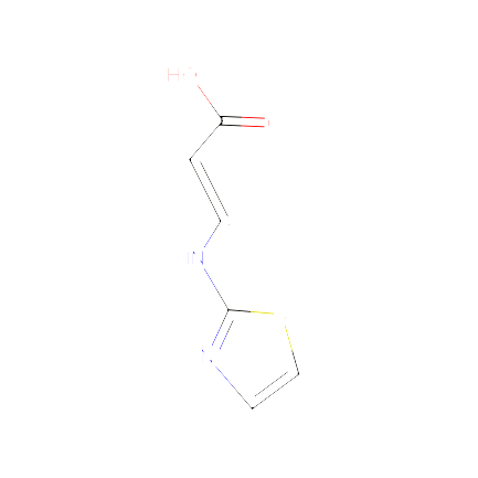 O=C(O)/C=C/Nc1nccs1